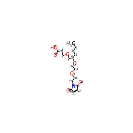 CCCCC(COCCC(=O)O)OCCOCCN1C(=O)C=CC1=O